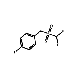 O=S(=O)(Cc1ccc(F)cc1)C(F)F